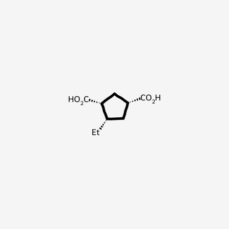 CC[C@H]1C[C@@H](C(=O)O)C[C@H]1C(=O)O